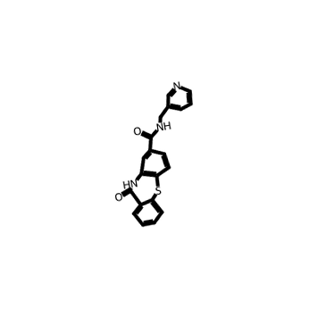 O=C(NCc1cccnc1)c1ccc2c(c1)NC(=O)c1ccccc1S2